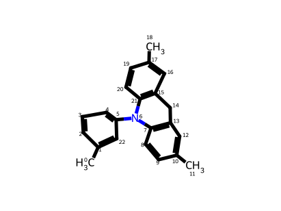 Cc1cccc(N2c3ccc(C)cc3Cc3cc(C)ccc32)c1